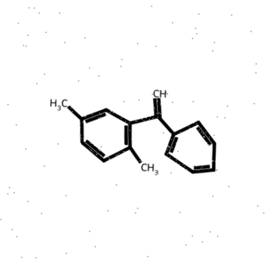 [CH]=C(c1cc[c]cc1)c1cc(C)ccc1C